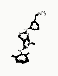 Cc1cccc(C)c1Nc1nn(C)c2nc(Nc3cccc(CN)c3)ncc12